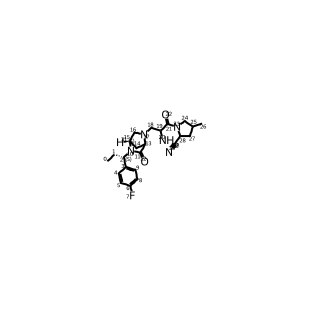 CC[C@@H](c1ccc(F)cc1)N1C(=O)C2C[C@H]1CN2CC(N)C(=O)N1CC(C)CC1C#N